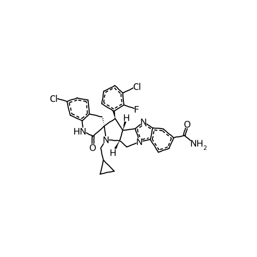 NC(=O)c1ccc2c(c1)nc1n2C[C@H]2[C@@H]1[C@H](c1cccc(Cl)c1F)[C@@]1(Cc3ccc(Cl)cc3NC1=O)N2CC1CC1